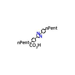 CCCCCc1ccc(-c2ncc(-c3ccc(C(CCCCC)C(=O)O)cc3)cn2)cc1